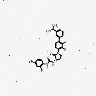 CC(N)c1cccc(-c2ccc(N3CC[C@@H](NC(=O)Nc4ccc(Cl)cc4F)C3=O)c(F)c2F)c1